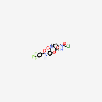 CN1C(=O)c2cc(NC(=O)c3ccc(C(F)(F)F)cc3)ccc2OC[C@@H]2O[C@H](CNC(=O)CCl)CC[C@@H]21